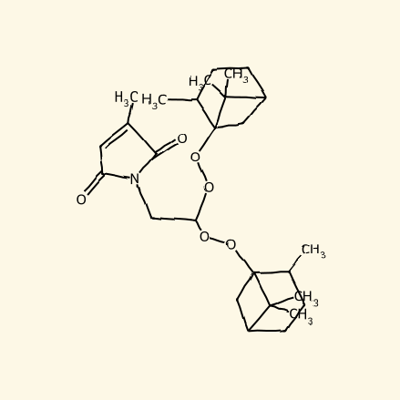 CC1=CC(=O)N(CC(OOC23CC(CCC2C)C3(C)C)OOC23CC(CCC2C)C3(C)C)C1=O